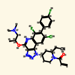 C=CC(=O)N1CC[C@H](n2nnc3c(O[C@@H](C)CN(C)C)nc4c(F)c(-c5ccc(F)cc5)c(Cl)cc4c32)C[C@H]1CC#N